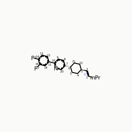 CCC/C=C/[C@H]1CC[C@H](c2ccc(-c3ccc(F)c(F)c3)nc2)CC1